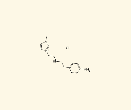 Cn1cc[n+](CCNCCc2ccc(N)cc2)c1.[Cl-]